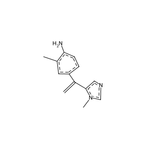 C=C(c1ccc(N)c(C)c1)c1cncn1C